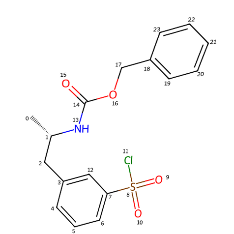 C[C@@H](Cc1cccc(S(=O)(=O)Cl)c1)NC(=O)OCc1ccccc1